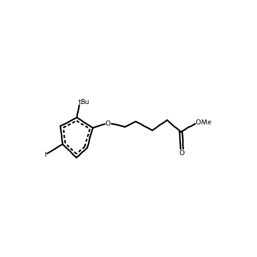 COC(=O)CCCCOc1ccc(I)cc1C(C)(C)C